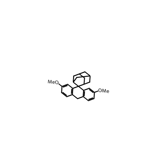 COc1ccc2c(c1)C1(c3cc(OC)ccc3C2)C2CC3CC(C2)CC1C3